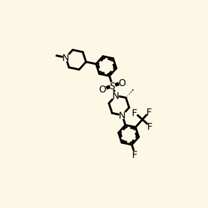 C[C@@H]1CN(c2ccc(F)cc2C(F)(F)F)CCN1S(=O)(=O)c1cccc(C2CCN(C)CC2)c1